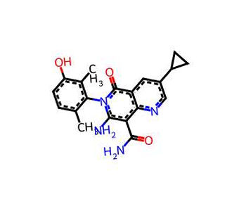 Cc1ccc(O)c(C)c1-n1c(N)c(C(N)=O)c2ncc(C3CC3)cc2c1=O